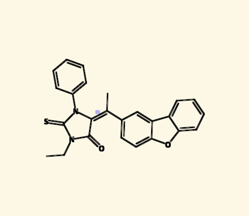 CCN1C(=O)/C(=C(/C)c2ccc3oc4ccccc4c3c2)N(c2ccccc2)C1=S